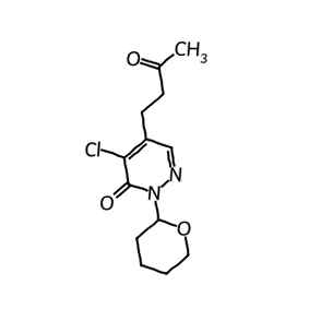 CC(=O)CCc1cnn(C2CCCCO2)c(=O)c1Cl